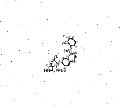 COc1cc2ncnc(Nc3cccc(C)c3F)c2cc1N1CC2(CNC2)OC1=O